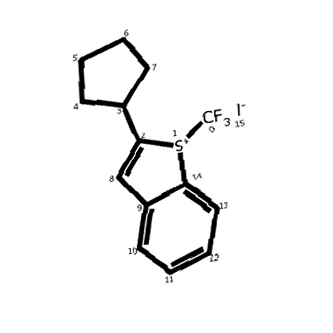 FC(F)(F)[s+]1c(C2CCCC2)cc2ccccc21.[I-]